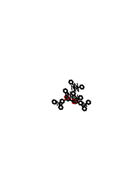 c1ccc(-c2nc(-c3ccccc3)nc(-c3cc(-n4c5ccccc5c5ccccc54)c(-n4c5ccc(-c6ccc7c(c6)c6ccccc6n7-c6ccccc6)cc5c5ccc(-c6ccc7c(c6)c6ccccc6n7-c6ccccc6)cc54)c(-n4c5ccccc5c5ccccc54)c3)n2)cc1